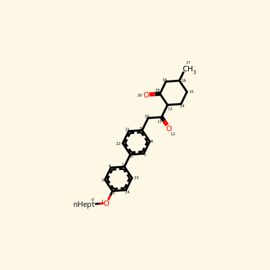 CCCCCCCOc1ccc(-c2ccc(CC(=O)C3CCC(C)CC3=O)cc2)cc1